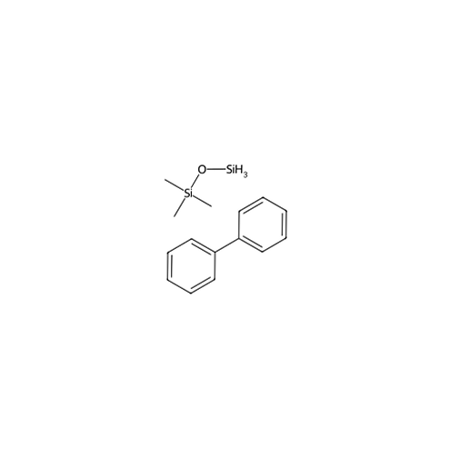 C[Si](C)(C)O[SiH3].c1ccc(-c2ccccc2)cc1